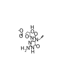 C#CCn1c(=O)n([C@@H]2O[C@H](C(=O)OC)C[C@H]2O)c2nc(N)[nH]c(=O)c21